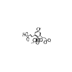 CCOP1(=O)OC(CC(=O)OC)c2cc(OC)cc(C=CC(=O)O)c21